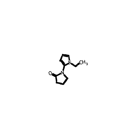 CCn1cccc1N1CCCC1=O